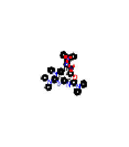 CN1c2cc3c(cc2B2c4cc5c(cc4Oc4cc(N(c6ccccc6)c6ccccc6)cc1c42)N(C)c1cc(N(c2ccccc2)c2ccccc2)cc2c1B5c1ccccc1N2c1ccccc1)B1c2ccccc2N(c2ccccc2)c2cc(N(c4ccccc4)c4ccccc4)cc(c21)N3C